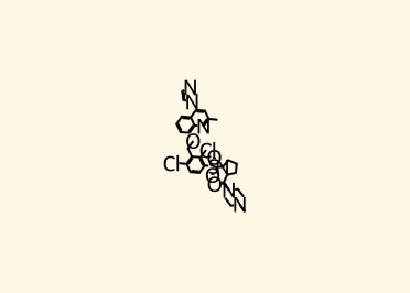 Cc1cc(-n2ccnc2)c2cccc(OCc3c(Cl)ccc(S(=O)(=O)N4CCCC4C(=O)N4CCN(C)CC4)c3Cl)c2n1